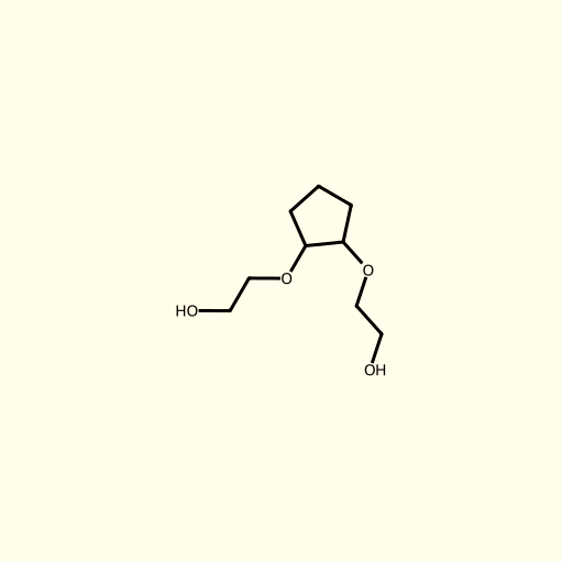 OCCOC1CCCC1OCCO